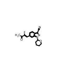 CC(=O)/C(F)=C/c1ccc2c(C#N)nn(C3CCCCO3)c2c1